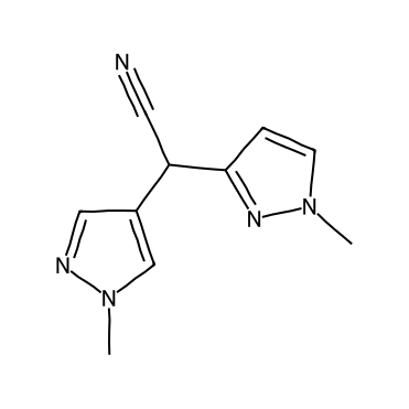 Cn1cc(C(C#N)c2ccn(C)n2)cn1